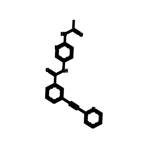 CC(=O)Nc1ccc(NC(=O)c2cccc(C#Cc3ccccn3)c2)cn1